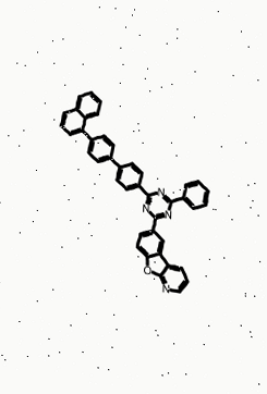 c1ccc(-c2nc(-c3ccc(-c4ccc(-c5cccc6ccccc56)cc4)cc3)nc(-c3ccc4oc5ncccc5c4c3)n2)cc1